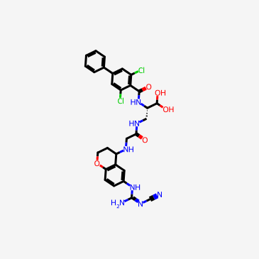 N#C/N=C(/N)Nc1ccc2c(c1)C(NCC(=O)NC[C@H](NC(=O)c1c(Cl)cc(-c3ccccc3)cc1Cl)C(O)O)CCO2